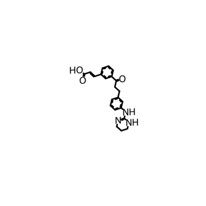 O=C(O)C=Cc1cccc(C(=O)CCc2cccc(NC3=NCCCN3)c2)c1